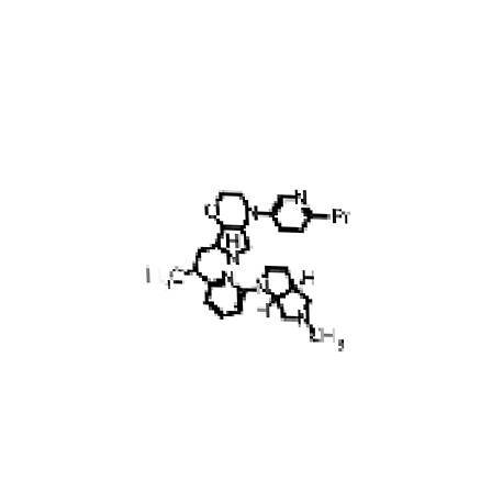 CC(C)c1ccc(N2CCOC3C(CC(C)c4cccc(N5CC[C@H]6CN(C)C[C@@H]65)n4)NCC32)cn1